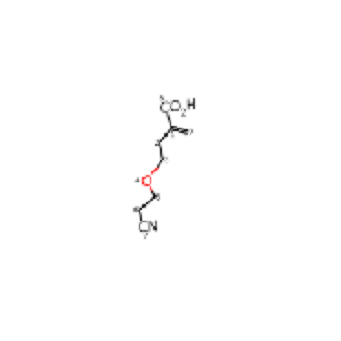 C=C(CCOCCC#N)C(=O)O